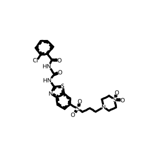 O=C(NC(=O)c1ccccc1Cl)Nc1nc2ccc(S(=O)(=O)CCCN3CCS(=O)(=O)CC3)cc2s1